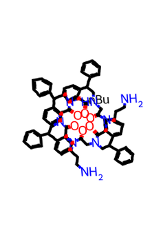 CCCCC(=O)CN(CC(c1ccccc1)c1ccccc1)C(=O)CN(CC(c1ccccc1)c1ccccc1)C(=O)CN(CCCN)C(=O)CN(CC(c1ccccc1)c1ccccc1)C(=O)CN(CCCN)C(=O)CNCC(c1ccccc1)c1ccccc1